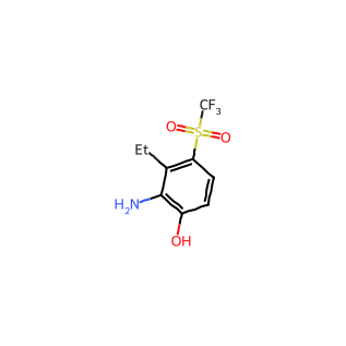 CCc1c(S(=O)(=O)C(F)(F)F)ccc(O)c1N